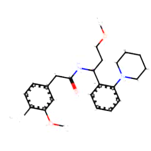 CCOCCC(NC(=O)Cc1ccc(C(=O)O)c(OCC)c1)c1ccccc1N1CCCCC1